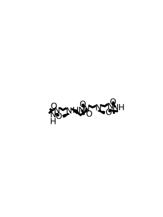 C#CCN(CC#CCC1(C)NC(=O)N(CCCN(CC#C)CCCN2C(=O)NC(C)(C)C2=O)C1=O)CCCN1C(=O)NC(C)(C)C1=O